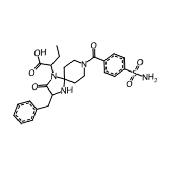 CCC(C(=O)O)N1C(=O)C(Cc2ccccc2)NC12CCN(C(=O)c1ccc(S(N)(=O)=O)cc1)CC2